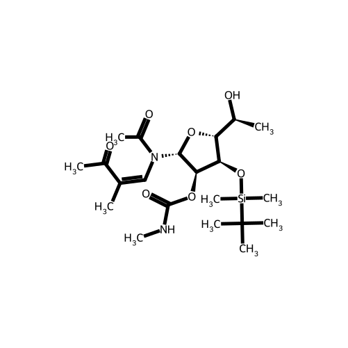 CNC(=O)O[C@@H]1[C@H](O[Si](C)(C)C(C)(C)C)[C@@H]([C@H](C)O)O[C@H]1N(/C=C(/C)C(C)=O)C(C)=O